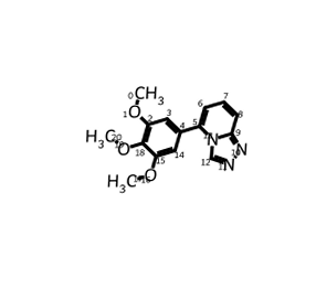 COc1cc(-c2cccc3nncn23)cc(OC)c1OC